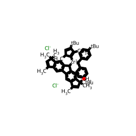 CC1=CC(C)(C)c2cc3c(cc21)-c1cc2c(cc1[CH]3[Zr+2]([C]1=C(C)C(C(C)(C)C)=CC1C)=[C](c1ccc(C(C)(C)C)cc1)c1ccc(C(C)(C)C)cc1)C(C)(C)C=C2C.[Cl-].[Cl-]